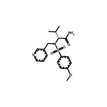 COc1ccc(S(=O)(=O)N(Cc2cccnc2)[C@@H](C(N)=O)C(C)C)cc1